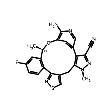 C[C@H]1Oc2cc(cnc2N)-c2c(C#N)nn(C)c2Cc2csnc2-c2ccc(F)cc21